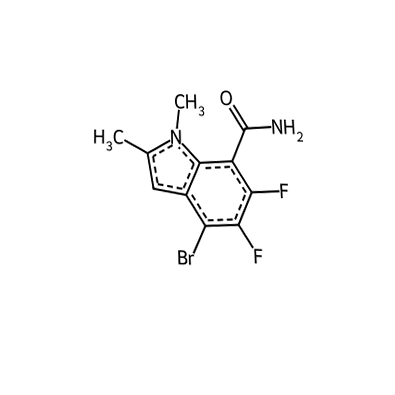 Cc1cc2c(Br)c(F)c(F)c(C(N)=O)c2n1C